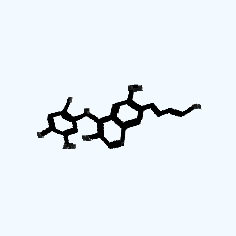 COc1cc(Nc2c(C#N)cnc3cc(C=CCCO)c(OC)cc23)c(Cl)cc1Cl